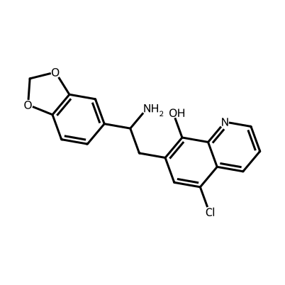 NC(Cc1cc(Cl)c2cccnc2c1O)c1ccc2c(c1)OCO2